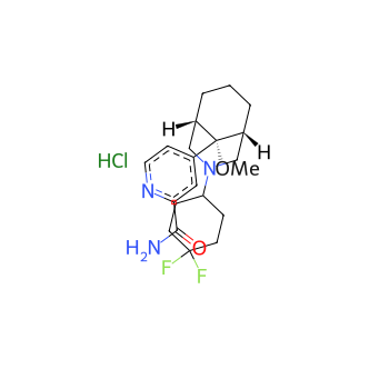 CO[C@@]1(c2ccnc(C(N)=O)c2)[C@@H]2CCC[C@H]1CN(C1CCC(F)(F)CC1)C2.Cl